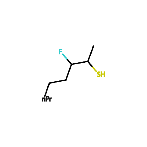 CCCCCC(F)C(C)S